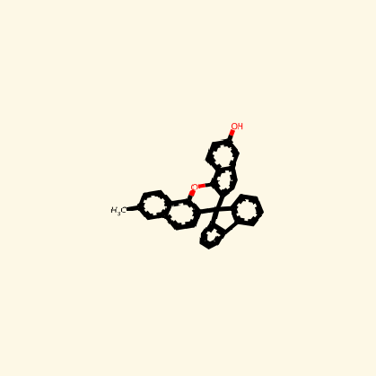 Cc1ccc2c3c(ccc2c1)C1(c2ccccc2-c2ccccc21)c1ccc2cc(O)ccc2c1O3